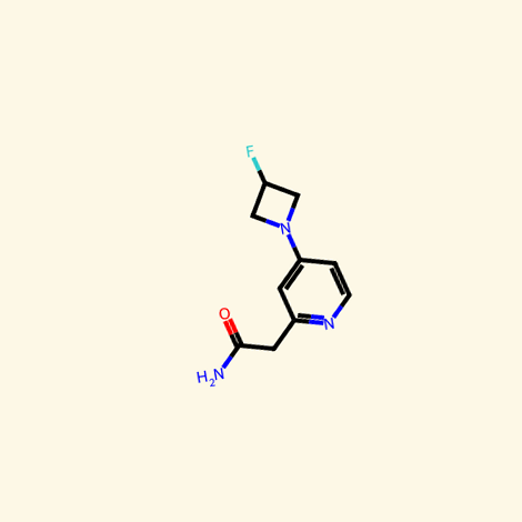 NC(=O)Cc1cc(N2CC(F)C2)ccn1